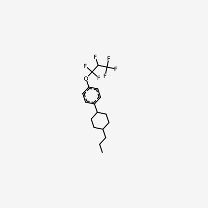 CCCC1CCC(c2ccc(OC(F)(F)C(F)C(F)(F)F)cc2)CC1